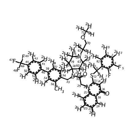 [2H]c1c([2H])c(F)c(F)c(C([2H])([2H])Sc2c([2H])c(=O)c3c([2H])c([2H])c([2H])c([2H])c3n2CC(=O)N(Cc2c([2H])c([2H])c(-c3c([2H])c([2H])c(C(F)(F)F)c([2H])c3[2H])c([2H])c2C)C2([2H])C([2H])([2H])C([2H])([2H])N(C([2H])([2H])COC([2H])([2H])[2H])C([2H])([2H])C2([2H])[2H])c1[2H]